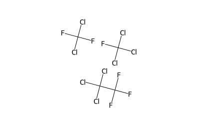 FC(Cl)(Cl)Cl.FC(F)(Cl)Cl.FC(F)(F)C(Cl)(Cl)Cl